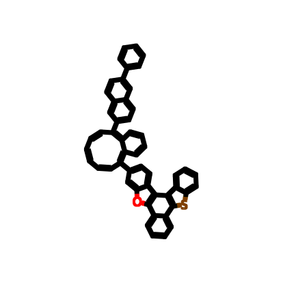 c1ccc(-c2ccc3cc(-c4ccccccc(-c5ccc6c(c5)oc5c7ccccc7c7sc8ccccc8c7c65)c5ccccc45)ccc3c2)cc1